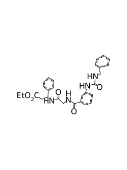 CCOC(=O)CC(NC(=O)CNC(=O)c1cccc(NC(=O)NCc2ccccc2)c1)c1ccccc1